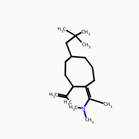 C=C(C)C1CCC(CC(C)(C)C)CCC/C1=C(\C)N(C)C